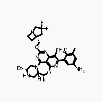 CC[C@@H]1CN2c3nc(OC[C@]45CCN4CC(F)(F)C5)nc4c(F)c(-c5cc(N)cc(C)c5C(F)(F)F)nc(c34)O[C@@H](C)[C@@H]2CN1